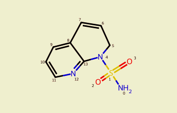 NS(=O)(=O)N1CC=Cc2cccnc21